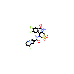 CN(C(=O)c1cc2c(F)cccn2c1)[C@@H]1CS(=O)(=O)Cc2[nH]c(=O)c3cc(F)c(F)cc3c21